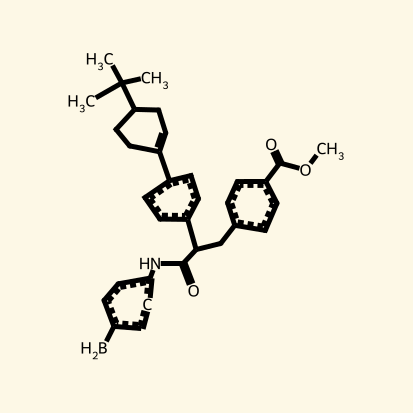 Bc1ccc(NC(=O)C(Cc2ccc(C(=O)OC)cc2)c2ccc(C3=CCC(C(C)(C)C)CC3)cc2)cc1